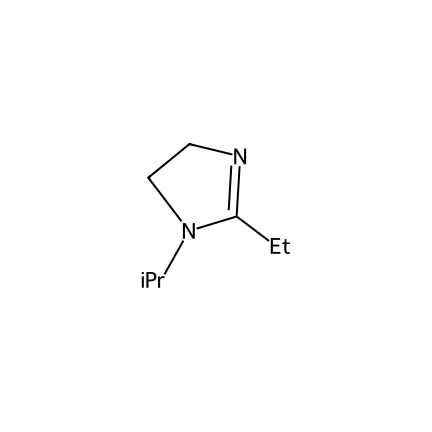 CCC1=NCCN1C(C)C